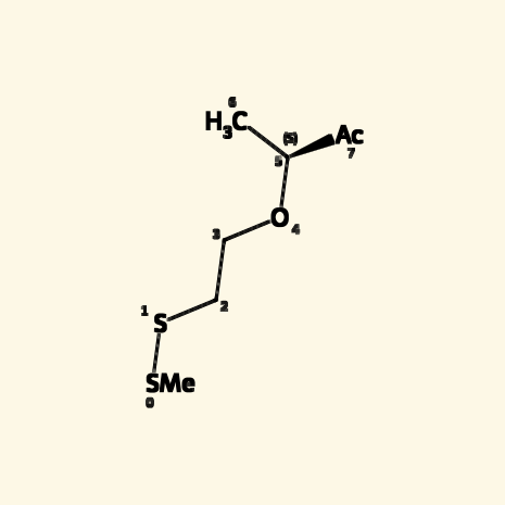 CSSCCO[C@@H](C)C(C)=O